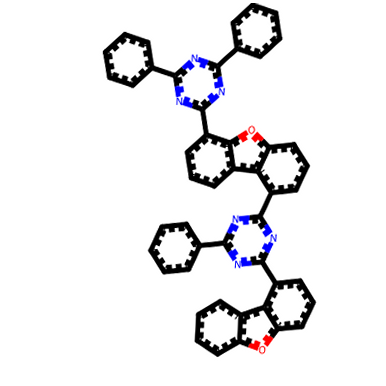 c1ccc(-c2nc(-c3ccccc3)nc(-c3cccc4c3oc3cccc(-c5nc(-c6ccccc6)nc(-c6cccc7oc8ccccc8c67)n5)c34)n2)cc1